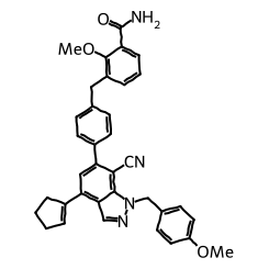 COc1ccc(Cn2ncc3c(C4=CCCC4)cc(-c4ccc(Cc5cccc(C(N)=O)c5OC)cc4)c(C#N)c32)cc1